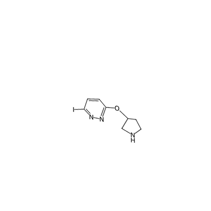 Ic1ccc(OC2CCNC2)nn1